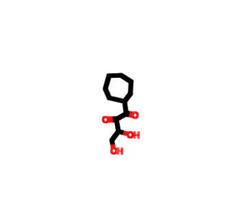 O=C(C(=O)C1CCCCCC1)C(O)CO